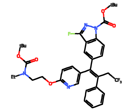 CCN(CCOc1ccc(/C(=C(/CC(F)(F)F)c2ccccc2)c2ccc3c(c2)c(F)nn3C(=O)OC(C)(C)C)cn1)C(=O)OC(C)(C)C